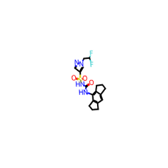 O=C(Nc1c2c(cc3c1CCC3)CCC2)NS(=O)(=O)c1cnn(CC(F)F)c1